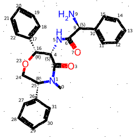 CN1C(=O)[C@@H](NC(=O)[C@@H](N)c2ccccc2)[C@@H](c2ccccc2)OC[C@H]1c1ccccc1